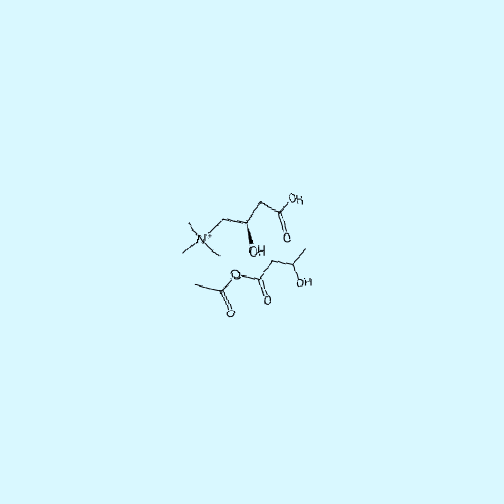 CC(=O)OC(=O)CC(C)O.C[N+](C)(C)C[C@H](O)CC(=O)O